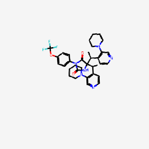 CC(c1ccncc1N1CCCCC1)C1(C(C)c2ccncc2N2CCCCC2)NC(=O)N(c2ccc(OC(F)(F)F)cc2)C1=O